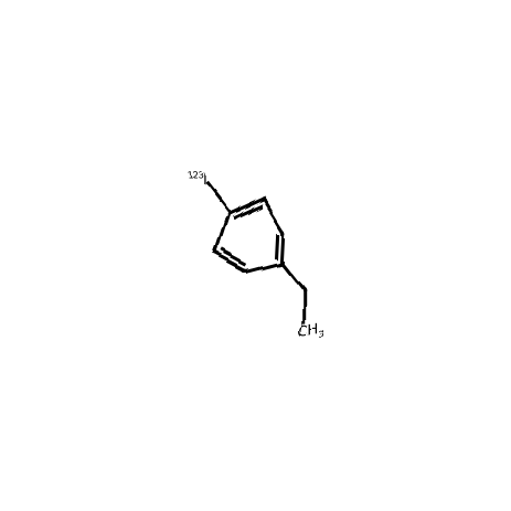 CCc1ccc([123I])cc1